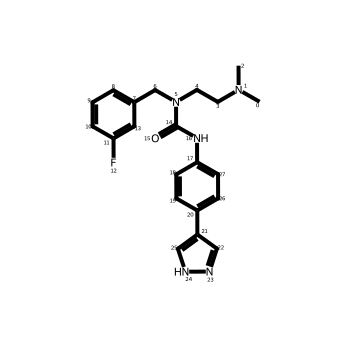 CN(C)CCN(Cc1cccc(F)c1)C(=O)Nc1ccc(-c2cn[nH]c2)cc1